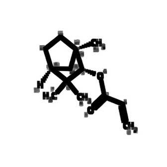 C=CC(=O)O[C@@H]1C(C)(C)[C@H]2CC[C@]1(C)C2